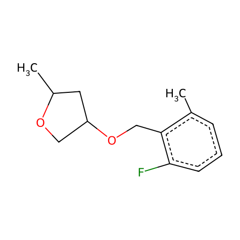 Cc1cccc(F)c1COC1COC(C)C1